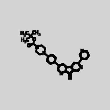 CC(C)(C)OC(=O)N1CCN(c2ccc(-c3cnc4[nH]c5cnc(-c6cccnc6)cc5c4c3)cc2)CC1